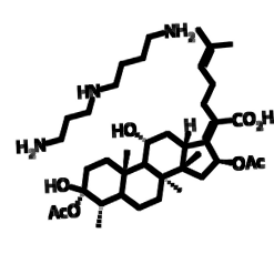 CC(=O)O[C@H]1C[C@@]2(C)[C@H](C[C@@H](O)C3[C@@]4(C)CC[C@@](O)(OC(C)=O)[C@@H](C)C4CC[C@@]32C)C1=C(CCC=C(C)C)C(=O)O.NCCCCNCCCN